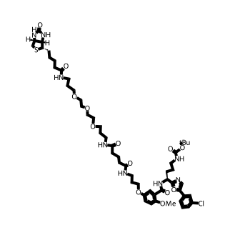 COc1ccc(OCCCNC(=O)CCCC(=O)NCCCOCCOCCOCCCNC(=O)CCCC[C@@H]2SC[C@@H]3NC(=O)N[C@@H]32)cc1C(=O)N[C@@H](CCCNC(=O)OC(C)(C)C)c1ncc(-c2cccc(Cl)c2)o1